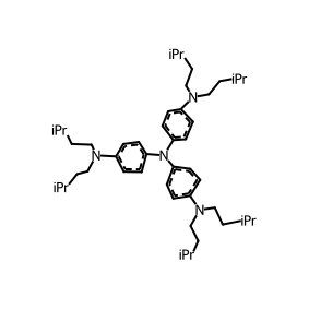 CC(C)CCN(CCC(C)C)c1ccc(N(c2ccc(N(CCC(C)C)CCC(C)C)cc2)c2ccc(N(CCC(C)C)CCC(C)C)cc2)cc1